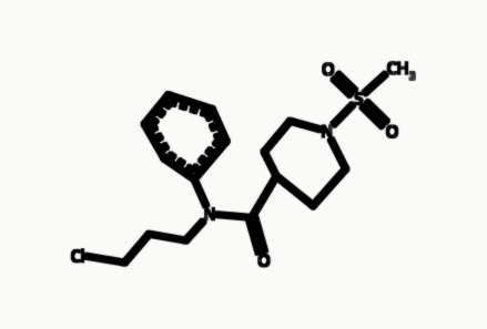 CS(=O)(=O)N1CCC(C(=O)N(CCCCl)c2ccccc2)CC1